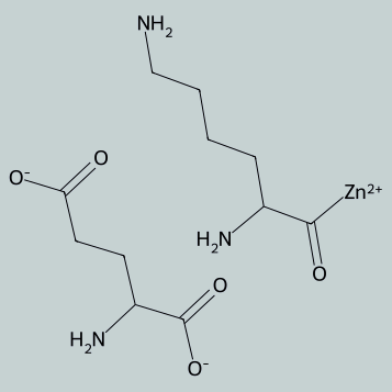 NC(CCC(=O)[O-])C(=O)[O-].NCCCCC(N)[C](=O)[Zn+2]